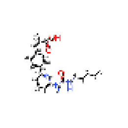 CCCCCNC(=O)N(C)c1cccc(-c2ccc(C=C(C)C(=O)O)cc2)n1